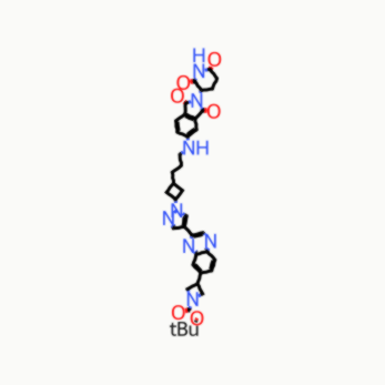 CC(C)(C)OC(=O)N1CC(c2ccc3ncc(-c4cnn(C5CC(CCCNc6ccc7c(c6)C(=O)N(C6CCC(=O)NC6=O)C7=O)C5)c4)nc3c2)C1